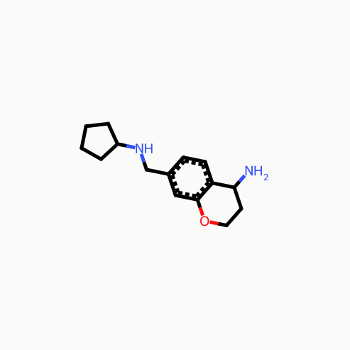 NC1CCOc2cc(CNC3CCCC3)ccc21